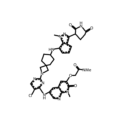 CNC(=O)COc1cc2cc(Nc3nc(N4CC5(CCC(Nc6cccc7c(C8CCC(=O)NC8=O)nn(C)c67)CC5)C4)ncc3Cl)cnc2n(C)c1=O